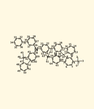 CC(C)(C)c1ccc2c(c1)C1(c3ccccc3-c3ccc(-c4ccc(N(c5cccc(-c6ccccc6)c5)c5ccc6c(c5)C(C)(C)c5ccccc5-6)cc4)cc31)c1cc(C(C)(C)C)ccc1-2